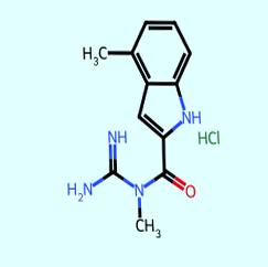 Cc1cccc2[nH]c(C(=O)N(C)C(=N)N)cc12.Cl